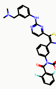 CN(C)Cc1cccc(Nc2nccc(-c3scnc3-c3cccc(N(C(=O)O)C(=O)c4c(F)cccc4F)c3)n2)c1